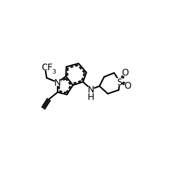 C#Cc1cc2c(NC3CCS(=O)(=O)CC3)cccc2n1CC(F)(F)F